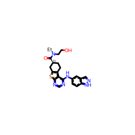 CCN(CCO)C(=O)[C@H]1CCc2c(sc3ncnc(Nc4ccc5[nH]ncc5c4)c23)C1